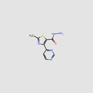 Cc1nc(-c2ccncn2)c(C(=O)NN)s1